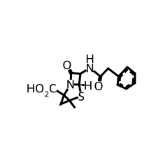 CC12CC1(C(=O)O)N1C(=O)C(NC(=O)Cc3ccccc3)[C@@H]1S2